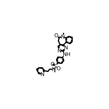 CN1C(=O)Cc2cnc(Nc3ccc(S(=O)(=O)N(C)CCc4ccccn4)cc3)nc2-c2ccccc21